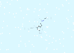 CC(C)(C)Nc1cc(NCCCO)c2sc(/C(N)=C/C=N)cc2n1